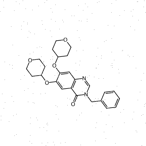 O=c1c2cc(OC3CCOCC3)c(OC3CCOCC3)cc2ncn1Cc1ccccc1